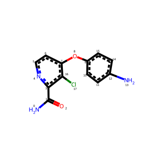 NC(=O)c1nccc(Oc2ccc(N)cc2)c1Cl